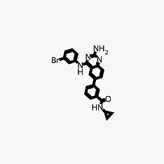 Nc1nc(Nc2cccc(Br)c2)c2cc(-c3cccc(C(=O)NC4CC4)c3)ccc2n1